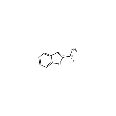 C[C@@H](N)[C@@H]1Cc2ccccc2O1